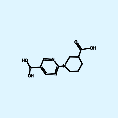 O=C(O)C1CCCN(c2ncc(B(O)O)cn2)C1